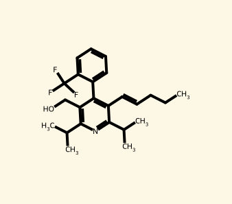 CCCC=Cc1c(C(C)C)nc(C(C)C)c(CO)c1-c1ccccc1C(F)(F)F